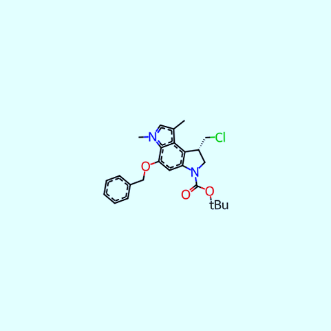 Cc1cn(C)c2c(OCc3ccccc3)cc3c(c12)[C@H](CCl)CN3C(=O)OC(C)(C)C